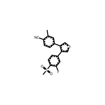 Cc1cc(-c2cscc2-c2ccc(S(C)(=O)=O)c(F)c2)ccc1C#N